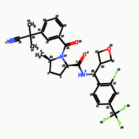 C[C@@H]1CC[C@H](C(=O)N[C@@H](c2ccc(C(F)(F)F)cc2F)C2COC2)N1C(=O)c1cccc(C(C)(C)C#N)c1